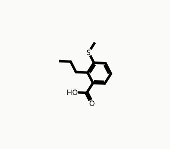 CCCc1c(SC)cccc1C(=O)O